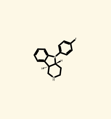 Fc1ccc(N2c3ccccc3[C@@H]3CNCC[C@H]32)cc1